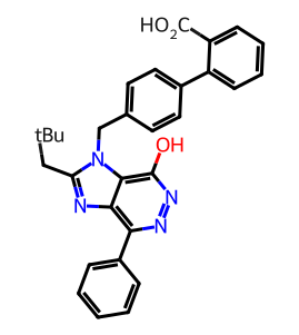 CC(C)(C)Cc1nc2c(-c3ccccc3)nnc(O)c2n1Cc1ccc(-c2ccccc2C(=O)O)cc1